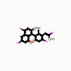 COc1cc(I)c(/C=C(/I)C=O)c(C)c1-c1c(OC)cc(I)c2cc(I)cc(O)c12